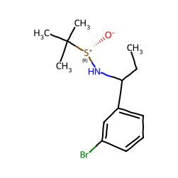 CCC(N[S@@+]([O-])C(C)(C)C)c1cccc(Br)c1